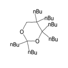 CCCCC1(CCCC)OCC(CCCC)(CCCC)C(CCCC)(CCCC)O1